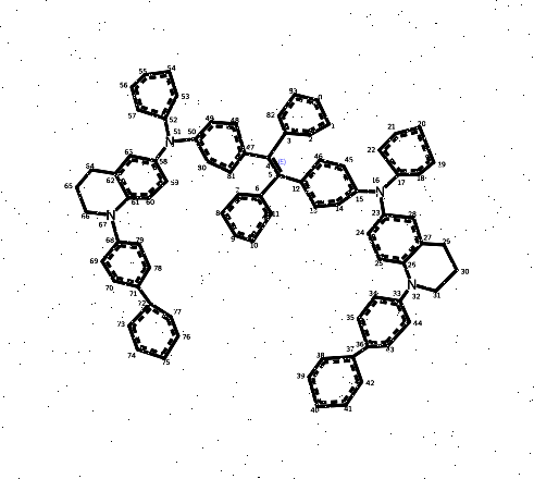 c1ccc(/C(=C(/c2ccccc2)c2ccc(N(c3ccccc3)c3ccc4c(c3)CCCN4c3ccc(-c4ccccc4)cc3)cc2)c2ccc(N(c3ccccc3)c3ccc4c(c3)CCCN4c3ccc(-c4ccccc4)cc3)cc2)cc1